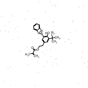 C=C(C)C(=O)OCCc1cc(-n2n3c4ccccc4n23)c(O)c(C(C)(C)C)c1